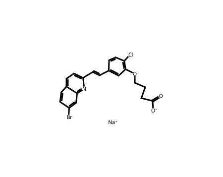 O=C([O-])CCCOc1cc(C=Cc2ccc3ccc(Br)cc3n2)ccc1Cl.[Na+]